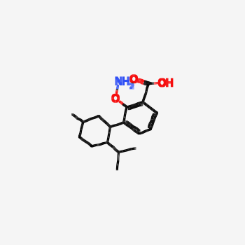 CC1CCC(C(C)C)C(c2cccc(C(=O)O)c2ON)C1